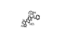 Cl.c1ccc(CN(CC2COCCN2)c2ncc3cc(-c4ncnc5[nH]ncc45)ccc3n2)cc1